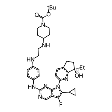 CC[C@@]1(O)CCc2ccc(-n3c(C4CC4)c(F)c4cnc(Nc5ccc(NCCNC6CCN(C(=O)OC(C)(C)C)CC6)cc5)nc43)nc21